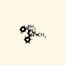 CCSc1nc(-c2ccccc2)cc(N(C)c2ccccc2)n1